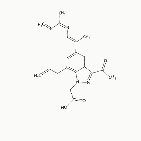 C=CCc1cc(/C(C)=C/N=C(/C)N=C)cc2c(C(C)=O)nn(CC(=O)O)c12